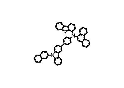 c1ccc2cc(-n3c4ccccc4c4cc(-c5ccc(N(c6cc7ccccc7c7ccccc67)c6cccc7c6sc6ccccc67)cc5)ccc43)ccc2c1